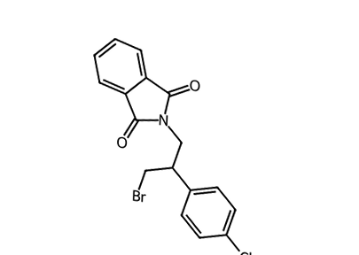 O=C1c2ccccc2C(=O)N1CC(CBr)c1ccc(Cl)cc1